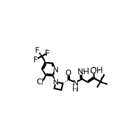 CC(C)(C)/C(O)=C/C(=N)NC(=O)[C@@H]1CCN1c1ncc(C(F)(F)F)cc1Cl